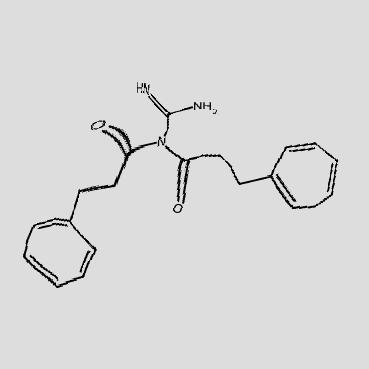 N=C(N)N(C(=O)CCc1ccccc1)C(=O)CCc1ccccc1